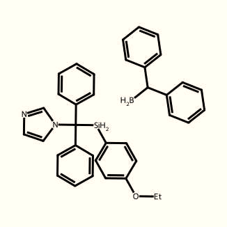 BC(c1ccccc1)c1ccccc1.CCOc1ccc([SiH2]C(c2ccccc2)(c2ccccc2)n2ccnc2)cc1